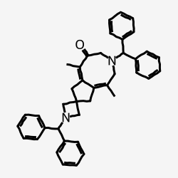 C/C1=C2\CC3(C\C2=C(/C)C(=O)CN(C(c2ccccc2)c2ccccc2)C1)CN(C(c1ccccc1)c1ccccc1)C3